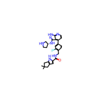 CC1(C)Cc2cc(C(=O)NCc3ccc(-c4ccnc5[nH]nc(N[C@@H]6CCNC6)c45)cc3F)[nH]c2C1